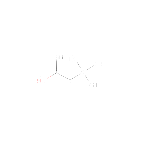 C[Si](C)(C)CC(O)[SiH3]